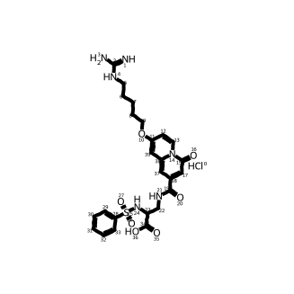 Cl.N=C(N)NCCCCCOc1ccn2c(=O)cc(C(=O)NCC(NS(=O)(=O)c3ccccc3)C(=O)O)cc2c1